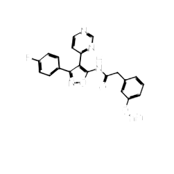 CCCOc1cccc(CC(=O)Nc2onc(-c3ccc(F)cc3)c2-c2ccncn2)c1